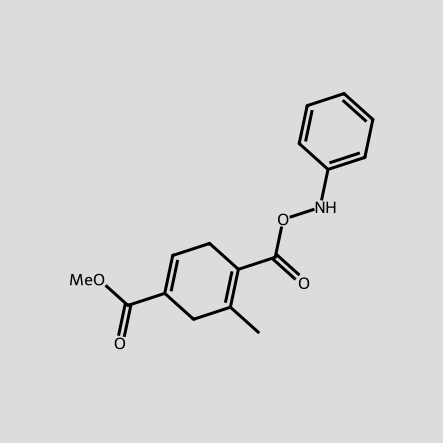 COC(=O)C1=CCC(C(=O)ONc2ccccc2)=C(C)C1